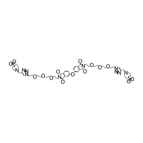 O=C1c2ccc(Oc3ccc4c(c3)C(=O)N(CCOCCOCCOCCn3cc(CN5CCS(=O)(=O)CC5)nn3)C4=O)cc2C(=O)N1CCOCCOCCOCCn1cc(CN2CCS(=O)(=O)CC2)nn1